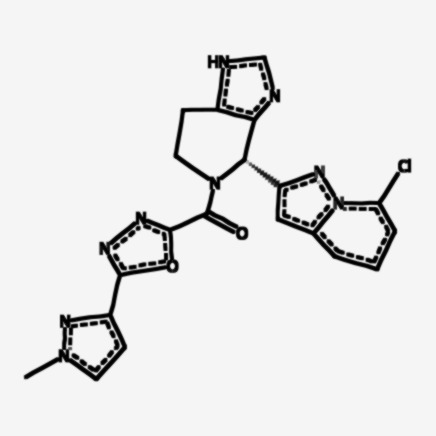 Cn1ccc(-c2nnc(C(=O)N3CCc4[nH]cnc4[C@@H]3c3cc4cccc(Cl)n4n3)o2)n1